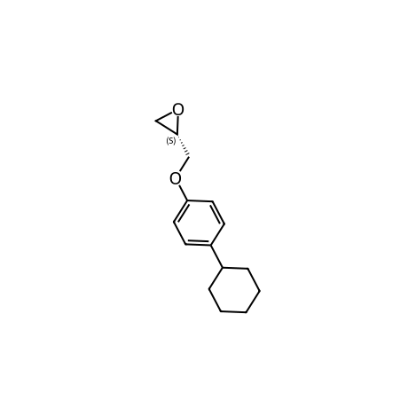 c1cc(C2CCCCC2)ccc1OC[C@@H]1CO1